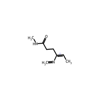 C=N/C(=C\C)CCC(=O)NC